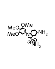 COc1cc(-n2cc(S(N)(=O)=O)c3cc(N)ccc32)cc(OC)c1OC